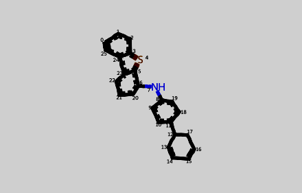 c1ccc2sc3c(Nc4ccc(C5C=CC=CC5)cc4)cccc3c2c#1